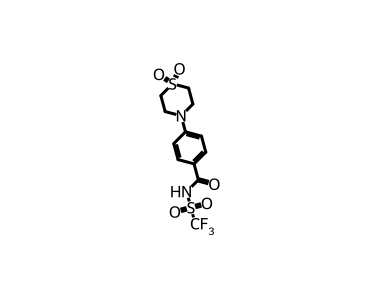 O=C(NS(=O)(=O)C(F)(F)F)c1ccc(N2CCS(=O)(=O)CC2)cc1